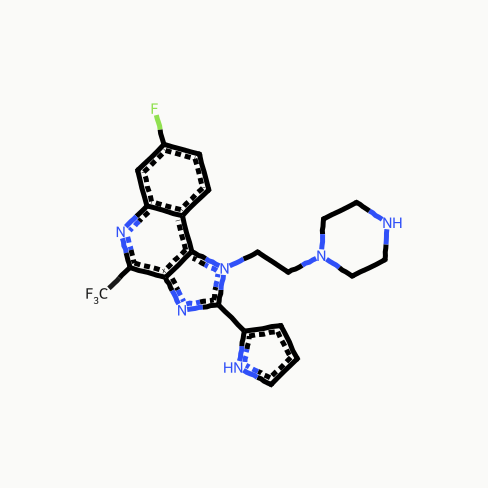 Fc1ccc2c(c1)nc(C(F)(F)F)c1nc(-c3ccc[nH]3)n(CCN3CCNCC3)c12